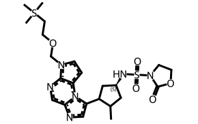 CC1C[C@H](NS(=O)(=O)N2CCOC2=O)CC1c1cnc2cnc3c(ccn3COCCS(C)(C)C)n12